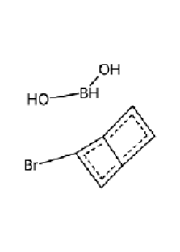 Brc1cc2ccc1-2.OBO